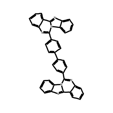 c1ccc2c(c1)nc(-c1ccc(-c3ccc(-c4nc5ccccc5c5nc6ccccc6n45)cc3)cc1)n1c3ccccc3nc21